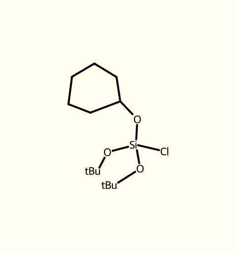 CC(C)(C)O[Si](Cl)(OC1CCCCC1)OC(C)(C)C